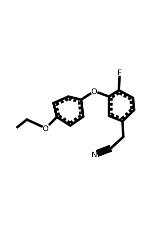 CCOc1ccc(Oc2cc(CC#N)ccc2F)cc1